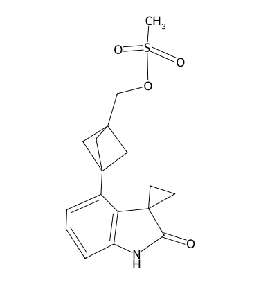 CS(=O)(=O)OCC12CC(c3cccc4c3C3(CC3)C(=O)N4)(C1)C2